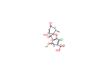 COC1=CC(=O)C[C@@H](C)[C@@]12Oc1c(Cl)c(C(=O)O)cc(OC)c1C2=O